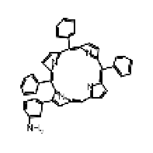 Nc1cccc(C2=CC3=CC4=NC(=C(c5ccccc5)C5=NC(=C(c6ccccc6)C6=NC(=C(c7ccccc7)C2=N3)C=C6)C=C5)C=C4)c1